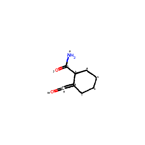 NC(=O)C1CCCCC1=C=O